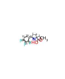 CCC1(C(=O)O)CCC(c2ccc(F)c(F)c2F)=N1